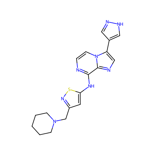 c1cn2c(-c3cn[nH]c3)cnc2c(Nc2cc(CN3CCCCC3)ns2)n1